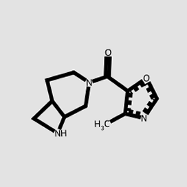 Cc1ncoc1C(=O)N1CCC2CNC2C1